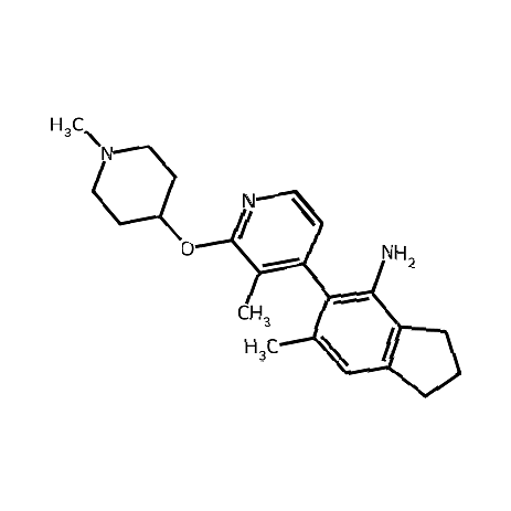 Cc1cc2c(c(N)c1-c1ccnc(OC3CCN(C)CC3)c1C)CCC2